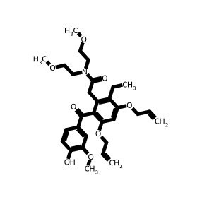 C=CCOc1cc(OCC=C)c(C(=O)c2ccc(O)c(OC)c2)c(CC(=O)N(CCOC)CCOC)c1CC